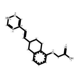 O=C(O)COc1cccc2c1CCC(/C=C/C1=CONC=N1)C2